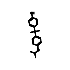 CC(C)Oc1ccc(C(C)(C)c2ccc(O)cc2)cc1